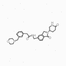 O=C1CCC(N2Cc3cc(CNC(=O)Cc4cccc(CN5CCOCC5)c4)ccc3C2=O)CN1